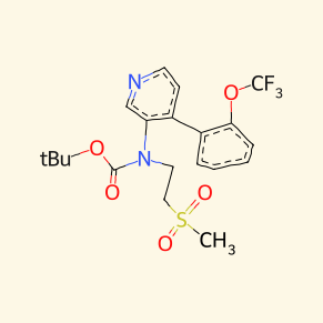 CC(C)(C)OC(=O)N(CCS(C)(=O)=O)c1cnccc1-c1ccccc1OC(F)(F)F